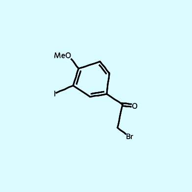 COc1ccc(C(=O)CBr)cc1I